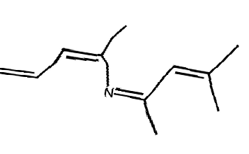 C=C/C=C(C)\N=C(\C)C=C(C)C